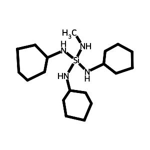 CN[Si](NC1CCCCC1)(NC1CCCCC1)NC1CCCCC1